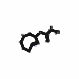 CCNC(=O)OC1/C=C/CCCCC1